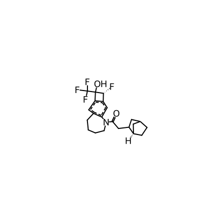 O=C(CC1CC2CC[C@@H]1C2)N1CCCCc2cc3c(cc21)[C@@H](F)C3(O)C(F)(F)F